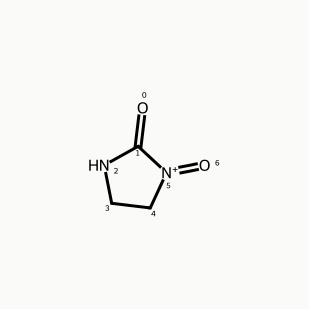 O=C1NCC[N+]1=O